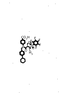 CN([C@H](CO)C(=O)N(Cc1ccc(C2CCCCC2)cc1)c1ccc(C(=O)O)cc1)S(=O)(=O)c1c(F)c(F)c(F)c(F)c1F